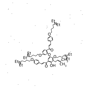 CCN(CC)CCCCOc1ccc(/C=C/C(=O)c2ccc(OCCCCN(CC)CC)cc2Oc2cc(C(=O)/C=C/c3ccc(OCCCCN(CC)CC)cc3)c(O)c(CC=C(C)C)c2OCCCCN(CC)CC)cc1